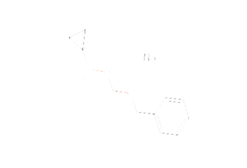 O=S(OCOCc1ccccc1)C1CC1.[Na]